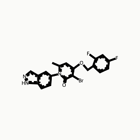 Cc1cc(OCc2ccc(F)cc2F)c(Br)c(=O)n1-c1ccc2[nH]ncc2c1